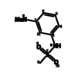 [CH2]Nc1cccc(NS(C)(=O)=O)c1